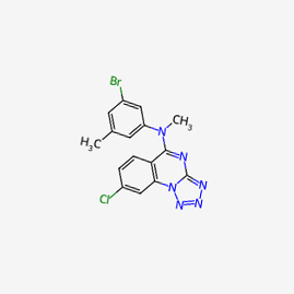 Cc1cc(Br)cc(N(C)c2nc3nnnn3c3cc(Cl)ccc23)c1